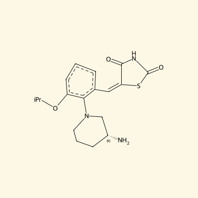 CC(C)Oc1cccc(C=C2SC(=O)NC2=O)c1N1CCC[C@@H](N)C1